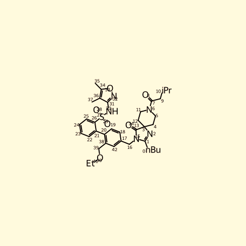 CCCCC1=NC2(CCN(C(=O)CC(C)C)CC2)C(=O)N1Cc1ccc(-c2ccccc2S(=O)(=O)Nc2noc(C)c2C)c(COCC)c1